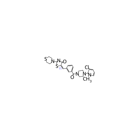 CC1CN(C(=O)c2cccc(/C=C3/SC(N4CCSCC4)=NC3=O)c2)CCN1c1ncccc1Cl